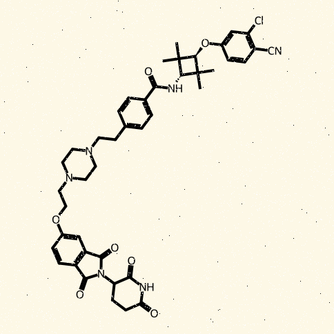 CC1(C)[C@H](NC(=O)c2ccc(CCN3CCN(CCOc4ccc5c(c4)C(=O)N(C4CCC(=O)NC4=O)C5=O)CC3)cc2)C(C)(C)[C@H]1Oc1ccc(C#N)c(Cl)c1